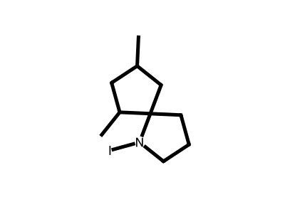 CC1CC(C)C2(CCCN2I)C1